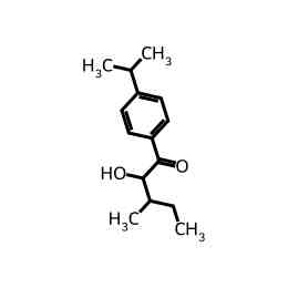 CCC(C)C(O)C(=O)c1ccc(C(C)C)cc1